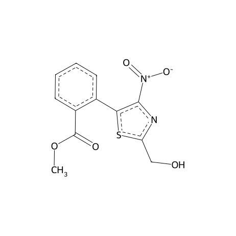 COC(=O)c1ccccc1-c1sc(CO)nc1[N+](=O)[O-]